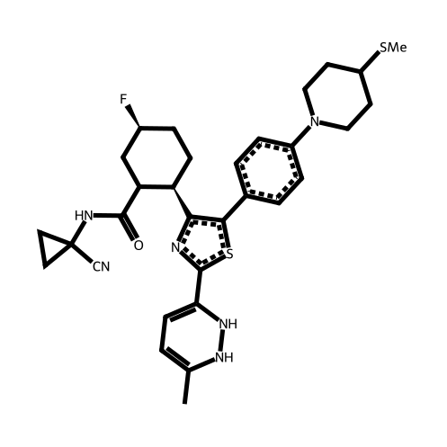 CSC1CCN(c2ccc(-c3sc(C4=CC=C(C)NN4)nc3[C@@H]3CC[C@H](F)CC3C(=O)NC3(C#N)CC3)cc2)CC1